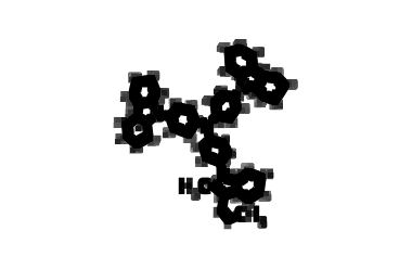 C/C=C\c1c(C)n(-c2ccc(N(c3ccc(N4c5ccccc5C5C=CC=CC54)cc3)c3ccc(-n4c5ccccc5c5ccccc54)cc3)cc2)c2ccccc12